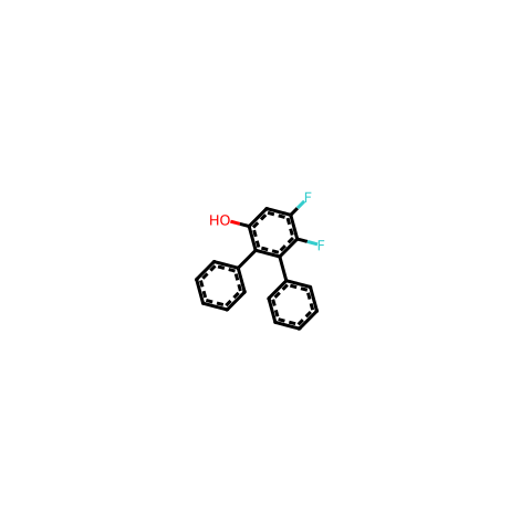 Oc1cc(F)c(F)c(-c2ccccc2)c1-c1ccccc1